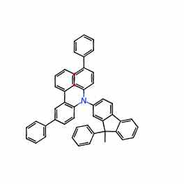 CC1(c2ccccc2)c2ccccc2-c2ccc(N(c3ccc(-c4ccccc4)cc3)c3ccc(-c4ccccc4)cc3-c3ccccc3)cc21